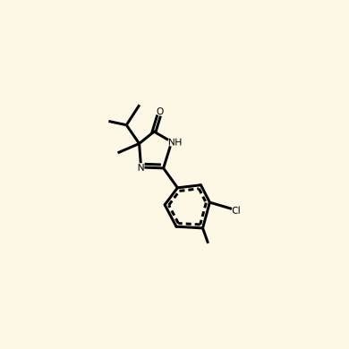 Cc1ccc(C2=NC(C)(C(C)C)C(=O)N2)cc1Cl